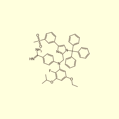 CCOc1cc(OC(C)C)c(F)c(N(Cc2nc(-c3cccc(S(C)(=O)=O)c3)cn2C(c2ccccc2)(c2ccccc2)c2ccccc2)c2ccc(C(=N)N)cc2)c1